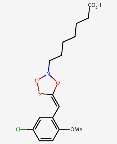 COc1ccc(Cl)cc1/C=C1/ON(CCCCCCC(=O)O)OS1